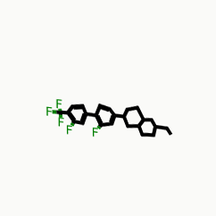 CCC1CCC2CC(c3ccc(-c4ccc(C(F)(F)F)c(F)c4)c(F)c3)CCC2C1